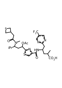 CC(=O)OC(CC(C(C)C)N(C)C(=O)CC1CSC1)c1nc(C(=O)NC(Cc2ncc(C(F)(F)F)cn2)CC(C)C(=O)O)cs1